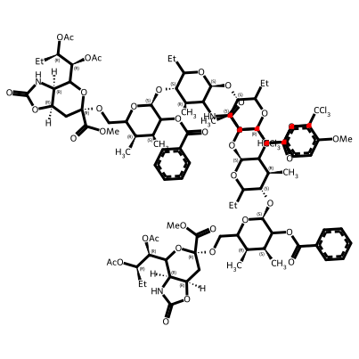 CCC1O[C@@H](OC2[C@@H](Oc3ccc(OC)cc3)OC(CC)[C@@H](O[C@@H]3OC(CC)[C@@H](O[C@@H]4OC(CO[C@]5(C(=O)OC)C[C@H]6OC(=O)N[C@H]6C([C@H](OC(C)=O)[C@@H](CC)OC(C)=O)O5)[C@H](C)[C@H](C)C4OC(=O)c4ccccc4)[C@H](C)C3NC(=O)OCC(Cl)(Cl)Cl)[C@@H]2C)C(NC(=O)OCC(Cl)(Cl)Cl)[C@@H](C)[C@@H]1O[C@@H]1OC(CO[C@]2(C(=O)OC)C[C@H]3OC(=O)N[C@H]3C([C@H](OC(C)=O)[C@@H](CC)OC(C)=O)O2)[C@H](C)[C@H](C)C1OC(=O)c1ccccc1